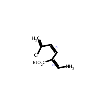 C=C(Cl)/C=C\C(=C/N)C(=O)OCC